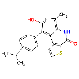 Cc1cc(O)c(-c2ccc(C(C)C)cc2)c2c1[nH]c(=O)c1sccc12